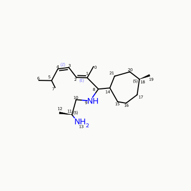 C/C(=C\C=C/C(C)C)C(NC[C@H](C)N)C1CCC[C@H](C)CC1